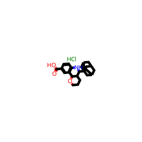 Cl.O=C(O)c1ccc2c(c1)C1OCCCC1C(C13CC4CC(CC(C4)C1)C3)N2